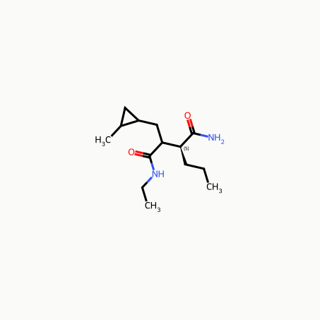 CCC[C@H](C(N)=O)C(CC1CC1C)C(=O)NCC